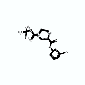 CC(C)(C)OC(=O)N1CCNC(C(=O)Nc2cccc(Cl)n2)C1